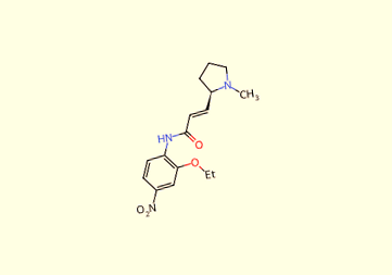 CCOc1cc([N+](=O)[O-])ccc1NC(=O)/C=C/[C@H]1CCCN1C